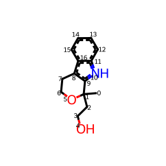 CC1(CCO)OCCc2c1[nH]c1ccccc21